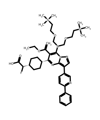 C=C(OCC)c1c(N(COCC[Si](C)(C)C)COCC[Si](C)(C)C)n2ncc(-c3ccc(-c4ccccc4)nc3)c2nc1[C@H]1CC[C@@H](C(F)C(=O)O)CC1